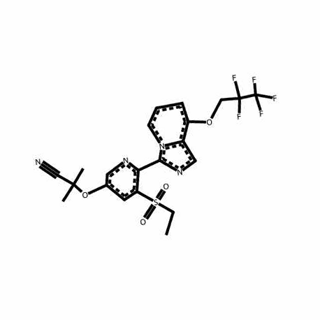 CCS(=O)(=O)c1cc(OC(C)(C)C#N)cnc1-c1ncc2c(OCC(F)(F)C(F)(F)F)cccn12